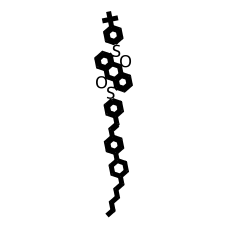 CCCCCCC1CCC(c2ccc(/C=C/c3ccc(Sc4cccc5c4C(=O)c4cccc(Sc6ccc(C(C)(C)C)cc6)c4C5=O)cc3)cc2)CC1